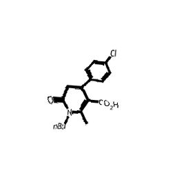 CCCCN1C(=O)CC(c2ccc(Cl)cc2)C(C(=O)O)=C1C